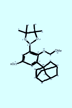 CCCCCCCCc1cc(B2OC(C)(C)C(C)(C)O2)c(OCOC)c(C23CC4CC(CC(C4)C2)C3)c1